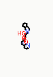 O=C(/C=C\c1cccnc1)OCC(O)CN1CCc2ccccc2C1